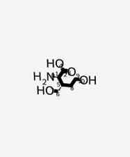 N[C@H](C(=O)O)[C@@H](CO)CCO